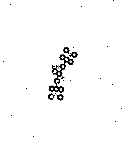 CN1c2cc3c4c(cccc4c2C2C=CC(c4c5ccccc5c(N(c5ccccc5)C5C=CC=CC5)c5ccccc45)=CC21)Nc1cc(-c2c4ccccc4c(N(c4ccccc4)c4ccccc4)c4ccccc24)ccc1-3